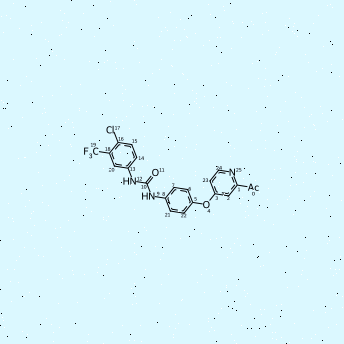 CC(=O)c1cc(Oc2ccc(NC(=O)Nc3ccc(Cl)c(C(F)(F)F)c3)cc2)ccn1